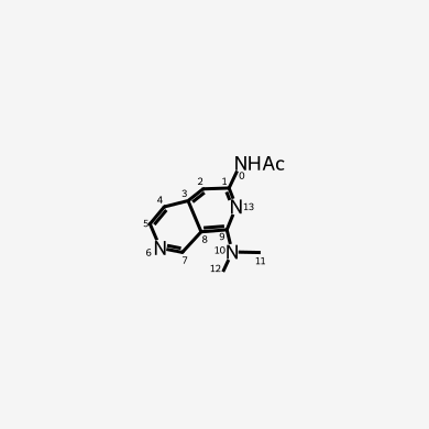 CC(=O)Nc1cc2ccncc2c(N(C)C)n1